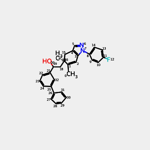 CC1=Cc2c(cnn2-c2ccc(F)cc2)C[C@]1(C)CC(O)c1cccc(-c2ccccc2)c1